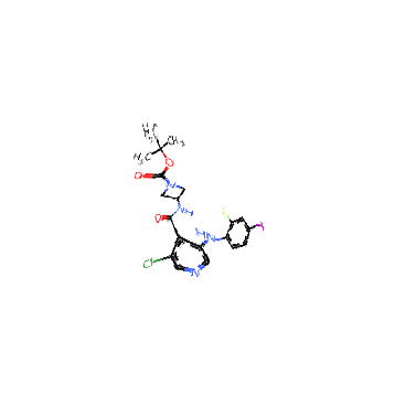 CC(C)(C)OC(=O)N1CC(NC(=O)c2c(Cl)cncc2Nc2ccc(I)cc2F)C1